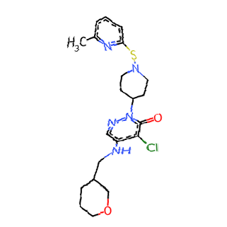 Cc1cccc(SN2CCC(n3ncc(NCC4CCCOC4)c(Cl)c3=O)CC2)n1